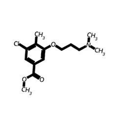 COC(=O)c1cc(Cl)c(C)c(OCCCN(C)C)c1